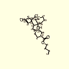 CCCCOC(=O)N1CCN(CC(c2cc(Cl)sc2Cl)C2(O)CCCCC2)CC1